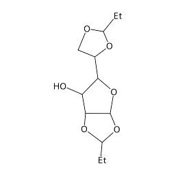 CCC1OCC(C2OC3OC(CC)OC3C2O)O1